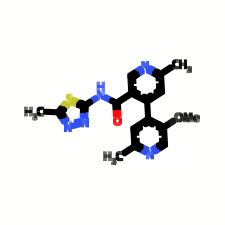 COc1cnc(C)cc1-c1cc(C)ncc1C(=O)Nc1nnc(C)s1